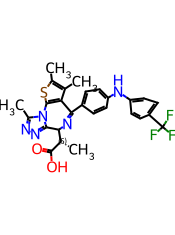 Cc1sc2c(c1C)C(c1ccc(Nc3ccc(C(F)(F)F)cc3)cc1)=NC([C@H](C)C(=O)O)c1nnc(C)n1-2